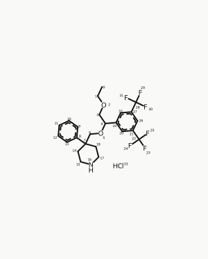 CCOCC(OCC1(c2ccccc2)CCNCC1)c1cc(C(F)(F)F)cc(C(F)(F)F)c1.Cl